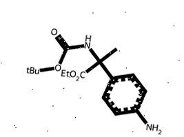 CCOC(=O)C(C)(NC(=O)OC(C)(C)C)c1ccc(N)cc1